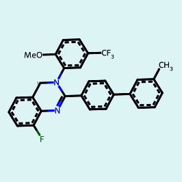 COc1ccc(C(F)(F)F)cc1N1[C]c2cccc(F)c2N=C1c1ccc(-c2cccc(C)c2)cc1